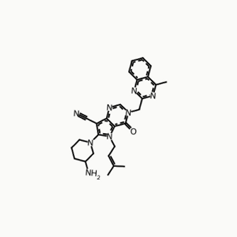 CC(C)=CCn1c(N2CCCC(N)C2)c(C#N)c2ncn(Cc3nc(C)c4ccccc4n3)c(=O)c21